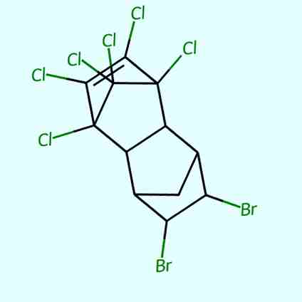 ClC1=C(Cl)C2(Cl)C3C4CC(C(Br)C4Br)C3C1(Cl)C2(Cl)Cl